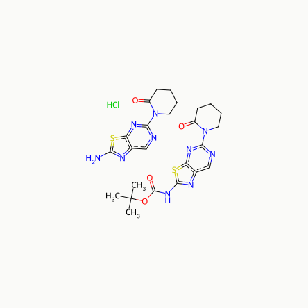 CC(C)(C)OC(=O)Nc1nc2cnc(N3CCCCC3=O)nc2s1.Cl.Nc1nc2cnc(N3CCCCC3=O)nc2s1